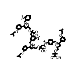 CC(C)COc1cccc(-c2cc(COC(C)(C)C(=O)O)nn2Cc2ccc(N(C)CCC(C)(OCc3cc(-c4cccc(OCC(C)C)c4)n(Cc4cc(CC(C)(OCc5cc(-c6cccc(OCC(C)C)c6)n(Cc6ccccc6N(C)C)n5)C(=O)O)cc(N(C)C)c4)n3)C(=O)O)cc2)c1